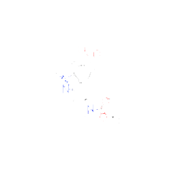 COC(=O)c1ccc2c(C3CCCN(C(=O)OC(C)(C)C)C3)nn(C)c2c1